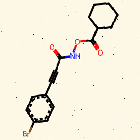 O=C(C#Cc1ccc(Br)cc1)NOC(=O)C1CCCCC1